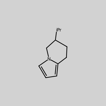 CC(C)C1CCc2cccn2C1